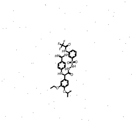 CCOc1cc(C(Nc2ccc(C(=N)N)cc2)C(=O)NNS(=O)(=O)c2cccc(NC(=O)C(F)(F)F)c2)ccc1OC(C)C